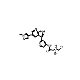 CC(C)[C@@H](NCC(F)(F)F)C(=O)Nc1cncc(-c2c[nH]c3ncc(-c4cnn(C)c4)cc23)c1